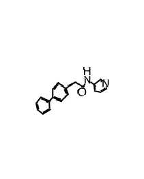 O=C(Cc1ccc(-c2ccccc2)cc1)Nc1cccnc1